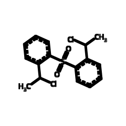 CC(Cl)c1ccccc1S(=O)(=O)c1ccccc1C(C)Cl